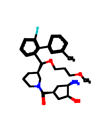 COCCCOC(c1cccc(F)c1-c1cccc(C)c1)[C@@H]1CCCN(C(=O)[C@H]2C[C@@H](N)[C@@H](O)C2)C1